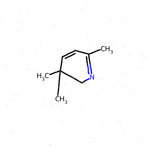 CC1=NCC(C)(C)C=C1